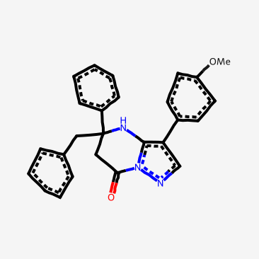 COc1ccc(-c2cnn3c2NC(Cc2ccccc2)(c2ccccc2)CC3=O)cc1